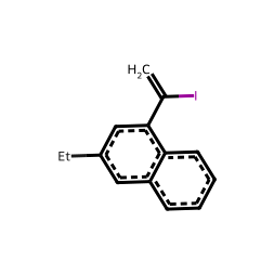 C=C(I)c1cc(CC)cc2ccccc12